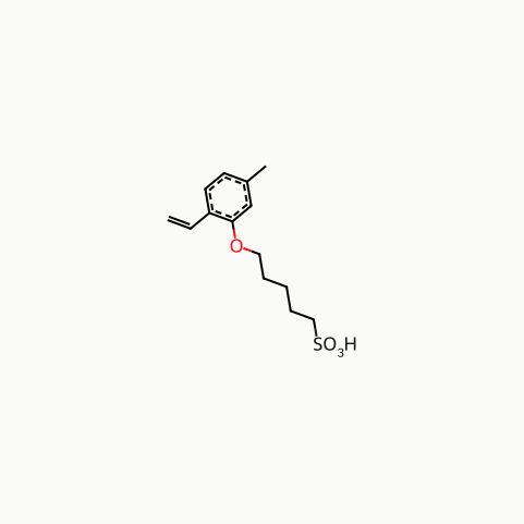 C=Cc1ccc(C)cc1OCCCCCS(=O)(=O)O